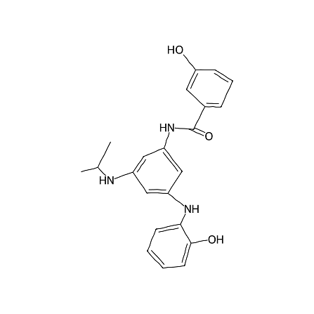 CC(C)Nc1cc(NC(=O)c2cccc(O)c2)cc(Nc2ccccc2O)c1